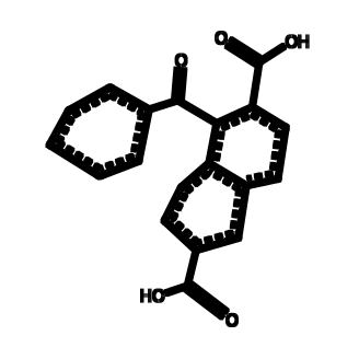 O=C(O)c1ccc2c(C(=O)c3ccccc3)c(C(=O)O)ccc2c1